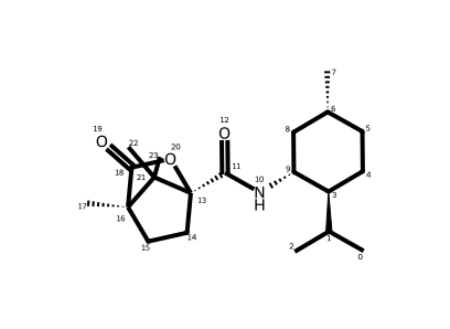 CC(C)[C@@H]1CC[C@@H](C)C[C@H]1NC(=O)[C@@]12CC[C@@](C)(C(=O)O1)C2(C)C